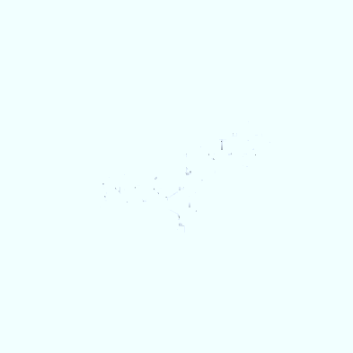 CS(=O)(=O)N1CC2(CCN(c3cc(Cl)ccc3CN3CCN(C(=O)OC(C(F)(F)F)C(F)(F)F)CC3)C2)C1